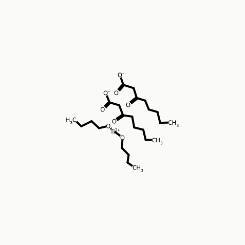 CCCCCC(=O)CC(=O)[O-].CCCCCC(=O)CC(=O)[O-].CCCC[O][Ti+2][O]CCCC